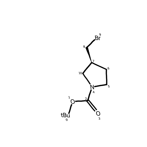 CC(C)(C)OC(=O)N1CC[C@H](CBr)C1